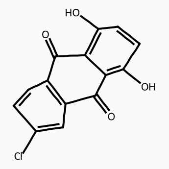 O=C1c2ccc(Cl)cc2C(=O)c2c(O)ccc(O)c21